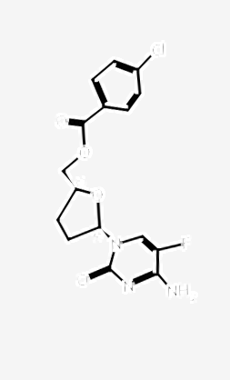 Nc1nc(=O)n([C@H]2CC[C@@H](COC(=O)c3ccc(Cl)cc3)O2)cc1F